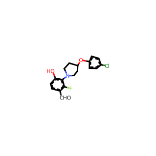 O=Cc1ccc(O)c(N2CCC(Oc3ccc(Cl)cc3)CC2)c1F